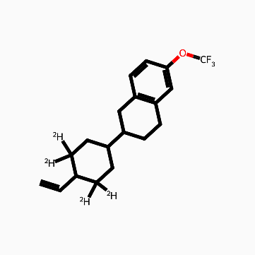 [2H]C1([2H])CC(C2CCc3cc(OC(F)(F)F)ccc3C2)CC([2H])([2H])C1C=C